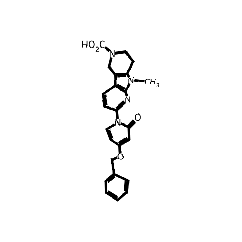 Cn1c2c(c3ccc(-n4ccc(OCc5ccccc5)cc4=O)nc31)CN(C(=O)O)CC2